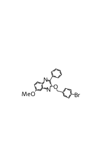 COc1ccc2nc(-c3ccccc3)c(OCc3ccc(Br)cc3)nc2c1